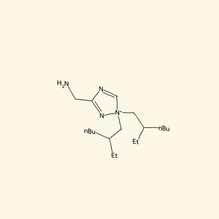 CCCCC(CC)C[N+]1(CC(CC)CCCC)C=NC(CN)=N1